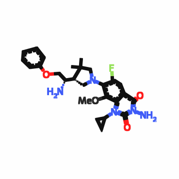 COc1c(N2C[C@H]([C@H](N)COc3ccccc3)C(C)(C)C2)c(F)cc2c(=O)n(N)c(=O)n(C3CC3)c12